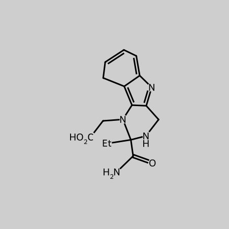 CCC1(C(N)=O)NCC2=NC3=CC=CCC3=C2N1CC(=O)O